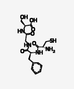 N[C@@H](CS)C(=O)N[C@@H](Cc1ccccc1)C(=O)NCC(=O)N[C@@H](CO)C(=O)O